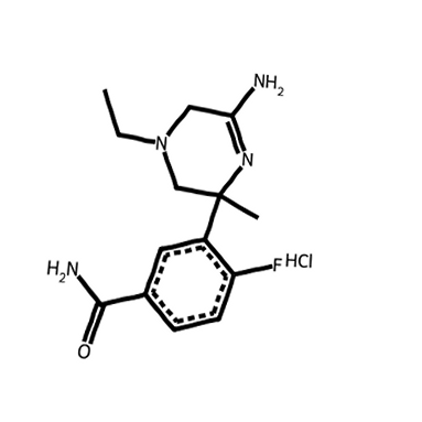 CCN1CC(N)=NC(C)(c2cc(C(N)=O)ccc2F)C1.Cl